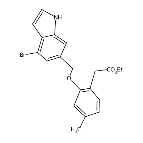 CCOC(=O)Cc1ccc(C)cc1OCc1cc(Br)c2cc[nH]c2c1